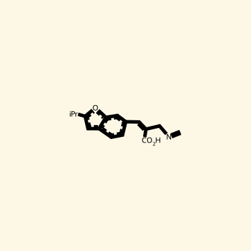 C=NC/C(=C/c1ccc2cc(C(C)C)oc2c1)C(=O)O